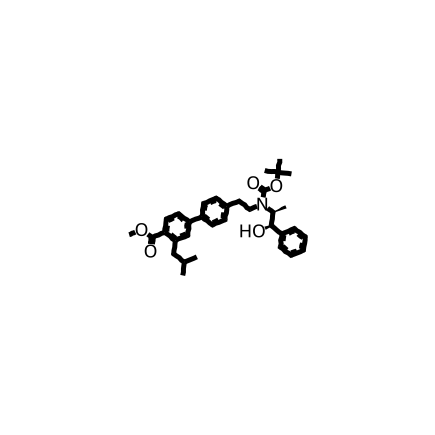 COC(=O)c1ccc(-c2ccc(CCN(C(=O)OC(C)(C)C)[C@@H](C)[C@H](O)c3ccccc3)cc2)cc1CC(C)C